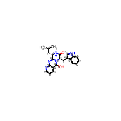 CC(C)C[C@@H]1NC(=O)[C@@H](Cc2c[nH]c3ccccc23)N2C1=Nc1ncccc1C2O